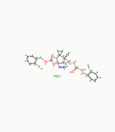 Cl.N[C@]1(OC(=O)OCc2ccccc2F)CC2(CC2)[C@@H]2[C@H](OC(=O)OCc3ccccc3F)[C@H]21